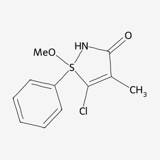 COS1(c2ccccc2)NC(=O)C(C)=C1Cl